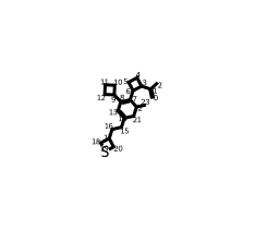 C=C(C)C1CCC1C1=C(C2CCC2)C=C(CCC2CSC2)CC1C